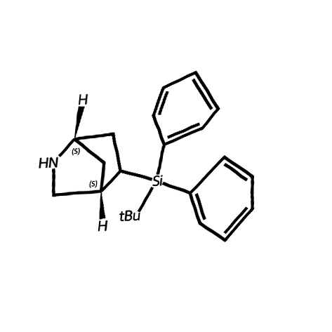 CC(C)(C)[Si](c1ccccc1)(c1ccccc1)C1C[C@@H]2C[C@H]1CN2